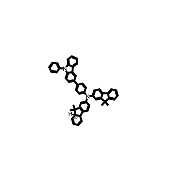 CC1(C)c2ccccc2-c2ccc(N(c3ccc(-c4ccc5c(c4)c4ccccc4n5-c4ccccc4)cc3)c3ccc4c(c3)C(C)(C)[C@H]3C=CC=CC43)cc21